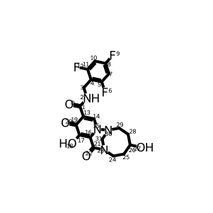 O=C(NCc1c(F)cc(F)cc1F)c1cn2c(c(O)c1=O)C(=O)N1CCC(O)CCN2C1